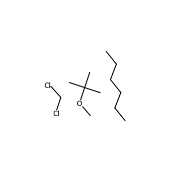 CCCCCC.COC(C)(C)C.ClCCl